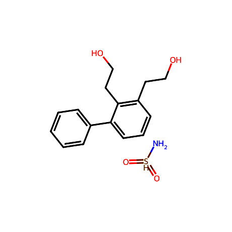 N[SH](=O)=O.OCCc1cccc(-c2ccccc2)c1CCO